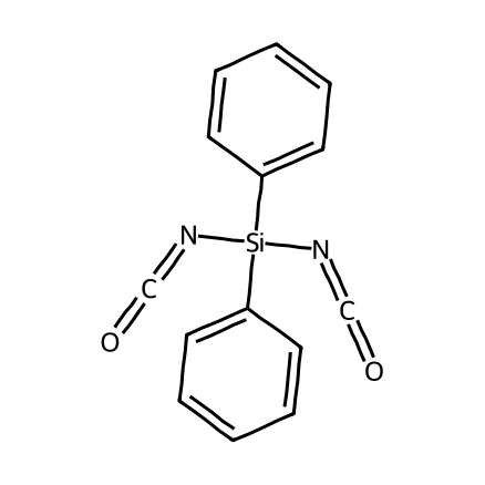 O=C=N[Si](N=C=O)(c1ccccc1)c1ccccc1